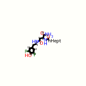 CCCCCCCC(=O)NC(CC(=O)NCCc1cc(F)c(O)c(F)c1)C(N)=O